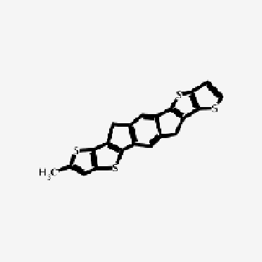 Cc1cc2sc3c(c2s1)Cc1cc2c(cc1-3)Cc1c-2sc2ccsc12